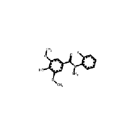 COc1cc(C(=O)N(N)c2ccccc2F)cc(OC)c1O